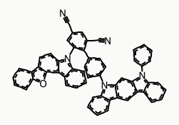 N#Cc1cc(C#N)c(-c2ccc(-n3c4ccccc4c4cc5c6ccccc6n(-c6ccccc6)c5cc43)cc2)c(-n2c3ccccc3c3c4oc5ccccc5c4ccc32)c1